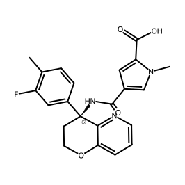 Cc1ccc([C@@]2(NC(=O)c3cc(C(=O)O)n(C)c3)CCOc3cccnc32)cc1F